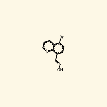 O/N=C/c1ccc(Br)c2cccnc12